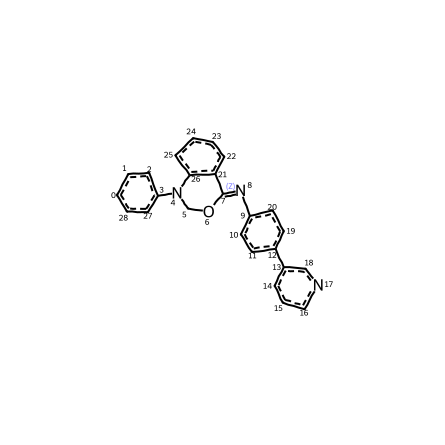 c1ccc(N2CO/C(=N\c3ccc(-c4cccnc4)cc3)c3ccccc32)cc1